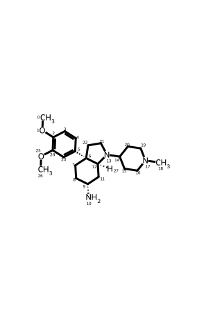 COc1ccc([C@@]23CC[C@@H](N)C[C@@H]2N(C2CCN(C)CC2)CC3)cc1OC